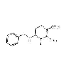 CC(C)(C)C1C(F)C(NCc2ccccc2)CCN1C(=O)O